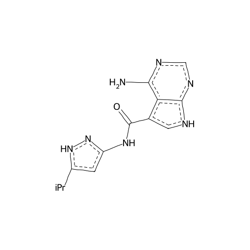 CC(C)c1cc(NC(=O)c2c[nH]c3ncnc(N)c23)n[nH]1